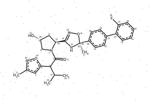 Cc1cc(C(C(=O)N2C[C@H](O)C[C@H]2C2=NO[C@@](C)(c3ccc(-c4ccccc4F)cc3)N2)C(C)C)on1